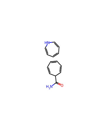 C1=CC=CNC=C1.NC(=O)C1C=CC=CC=C1